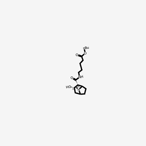 CCCCOC(=O)CCCCNC(=O)[C@@H]1C2CCC(C[C@@H]1O)N2C